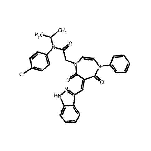 CC(C)N(C(=O)CN1C=CN(c2ccccc2)C(=O)/C(=C/c2n[nH]c3ccccc23)C1=O)c1ccc(Cl)cc1